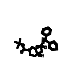 CC(C)(C)OC(=O)N1CCC(O)(CS(=O)(=O)NC(c2ccccc2)c2ccccc2)CC1